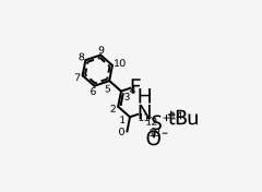 CC(C=C(F)c1ccccc1)N[S+]([O-])C(C)(C)C